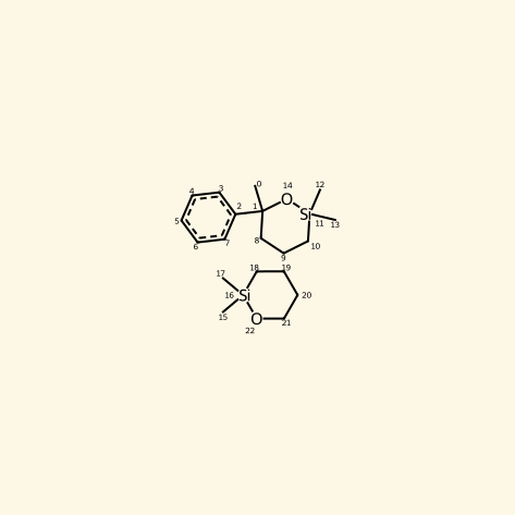 CC1(c2ccccc2)CCC[Si](C)(C)O1.C[Si]1(C)CCCCO1